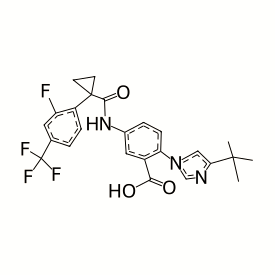 CC(C)(C)c1cn(-c2ccc(NC(=O)C3(c4ccc(C(F)(F)F)cc4F)CC3)cc2C(=O)O)cn1